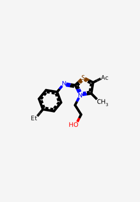 CCc1ccc(N=c2sc(C(C)=O)c(C)n2CCO)cc1